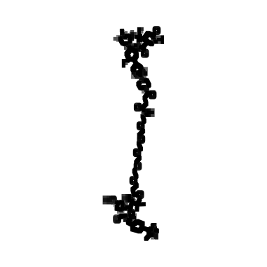 Cc1ncsc1-c1ccc(CNC(=O)[C@@H]2C[C@@H](O)CN2C(=O)[C@@H](NC(=O)CCOCCOCCOCCOCCOCCNC(=O)CCC(=O)N2CCN(c3ncc(-c4cc(NC(=O)c5c[nH]c(=O)cc5C(F)(F)F)c(N5C[C@@H](C)N(C)[C@@H](C)C5)cc4F)cn3)CC2)C(C)(C)C)cc1